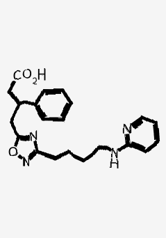 O=C(O)CC(Cc1nc(CCCCNc2ccccn2)no1)c1ccccc1